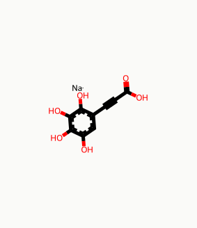 O=C(O)C#Cc1cc(O)c(O)c(O)c1O.[Na]